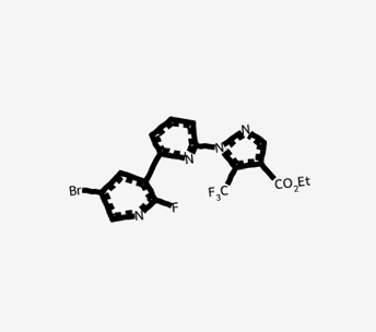 CCOC(=O)c1cnn(-c2cccc(-c3cc(Br)cnc3F)n2)c1C(F)(F)F